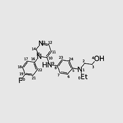 CCN(CCO)c1ccc(NC2=CC=NCN2c2ccc(F)cc2)cc1